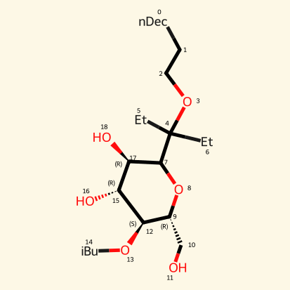 CCCCCCCCCCCCOC(CC)(CC)C1O[C@H](CO)[C@@H](OC(C)CC)[C@H](O)[C@H]1O